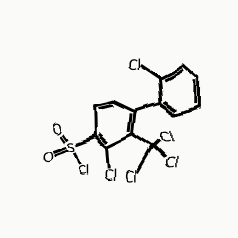 O=S(=O)(Cl)c1ccc(-c2ccccc2Cl)c(C(Cl)(Cl)Cl)c1Cl